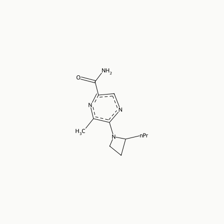 CCCC1CCN1c1ncc(C(N)=O)nc1C